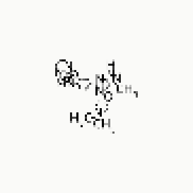 Cc1n[nH]c2nc(-c3ccc(NS(=O)(=O)c4ncccn4)cc3)nc(OC3CCN(C(C)C)CC3)c12